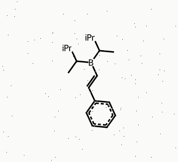 CC(C)C(C)B(C=Cc1ccccc1)C(C)C(C)C